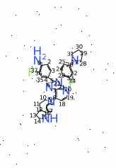 Nc1ccc(-c2nc3c(N4CCC5CCNC5C4)ccnc3n2-c2ccc(N3CCCC3)cc2F)cc1F